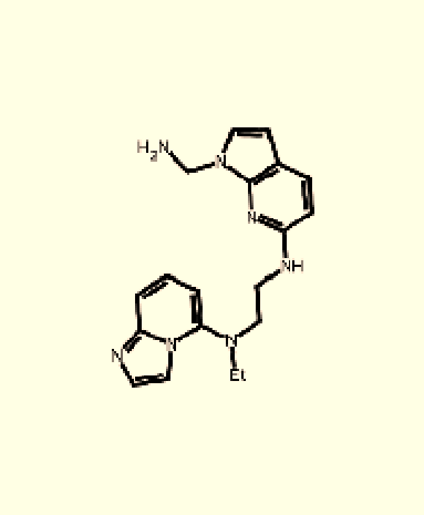 CCN(CCNc1ccc2ccn(CN)c2n1)c1cccc2nccn12